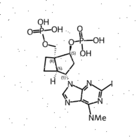 CNc1nc(I)nc2c1ncn2[C@H]1C[C@H](OP(=O)(O)O)[C@]2(COP(=O)(O)O)CC[C@H]12